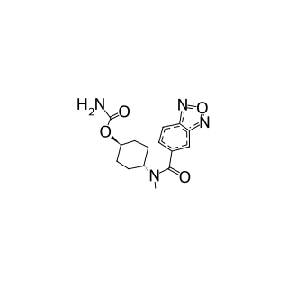 CN(C(=O)c1ccc2nonc2c1)[C@H]1CC[C@H](OC(N)=O)CC1